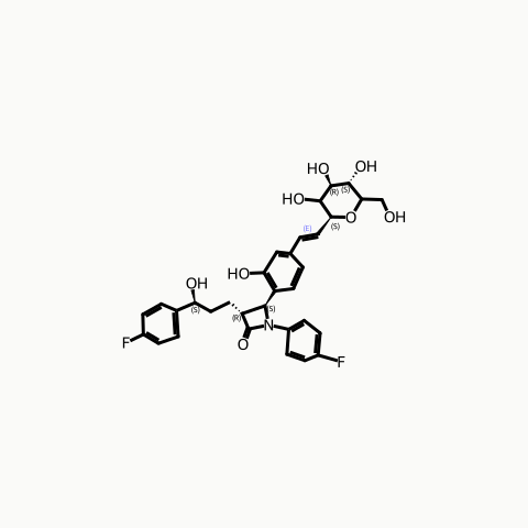 O=C1[C@H](CC[C@H](O)c2ccc(F)cc2)[C@@H](c2ccc(/C=C/[C@@H]3OC(CO)[C@@H](O)[C@H](O)C3O)cc2O)N1c1ccc(F)cc1